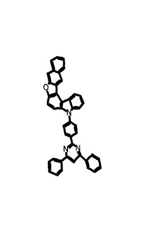 c1ccc(-c2cc(-c3ccccc3)nc(-c3ccc(-n4c5ccccc5c5c6c(ccc54)oc4cc5ccccc5cc46)cc3)n2)cc1